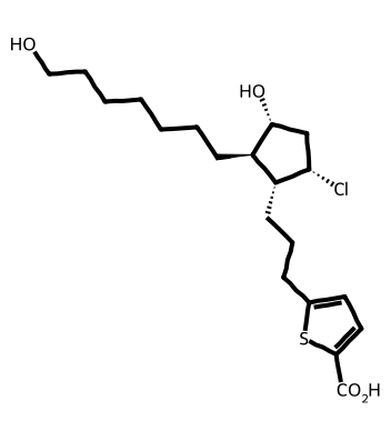 O=C(O)c1ccc(CCC[C@@H]2[C@@H](CCCCCCCO)[C@H](O)C[C@@H]2Cl)s1